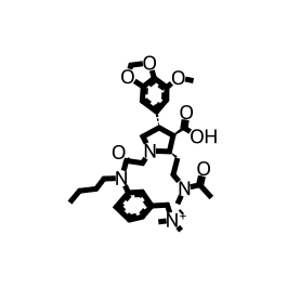 CCCCN(C(=O)CN1C[C@H](c2cc(OC)c3c(c2)OCO3)[C@@H](C(=O)O)[C@@H]1CCN(C)C(C)=O)c1cccc(C[N+](C)(C)C)c1